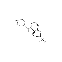 FC(F)(F)c1ccc2c(NC3CCNCC3)nccc2n1